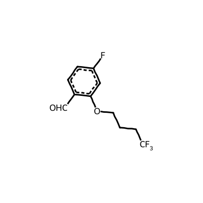 O=Cc1ccc(F)cc1OCCCC(F)(F)F